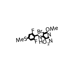 COc1ncc([N+](=O)[O-])c(NCc2c(F)cc(SC)cc2F)c1Br